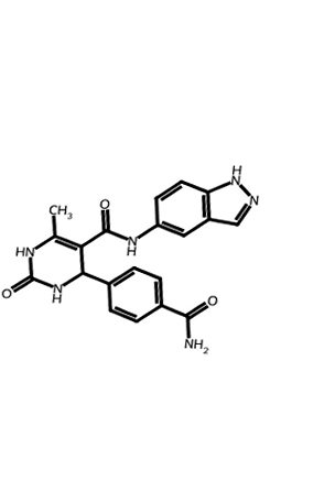 CC1=C(C(=O)Nc2ccc3[nH]ncc3c2)C(c2ccc(C(N)=O)cc2)NC(=O)N1